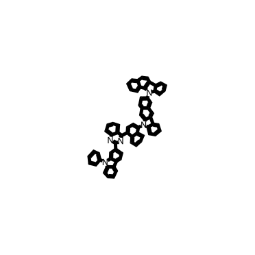 c1ccc(-n2c3ccccc3c3ccc(-c4nc(-c5ccc(-n6c7ccccc7c7cc8cc(-n9c%10ccccc%10c%10ccc%11ccccc%11c%109)ccc8cc76)c6ccccc56)c5ccccc5n4)cc32)cc1